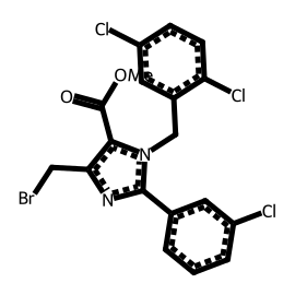 COC(=O)c1c(CBr)nc(-c2cccc(Cl)c2)n1Cc1cc(Cl)ccc1Cl